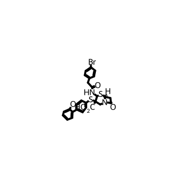 O=C(Cc1ccc(Br)cc1)NC1S[C@@H]2CC(=O)N2CC1(Sc1ccc2c(c1)oc1ccccc12)C(=O)O